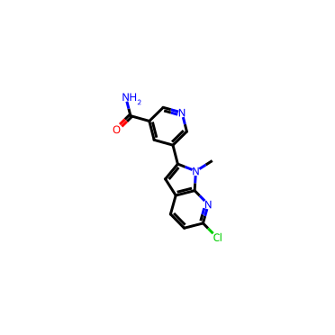 Cn1c(-c2cncc(C(N)=O)c2)cc2ccc(Cl)nc21